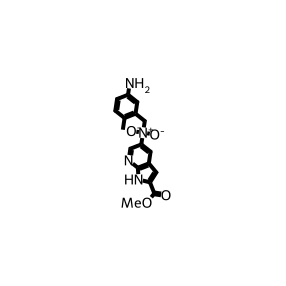 COC(=O)c1cc2cc([N+]([O-])([O-])Cc3cc(N)ccc3C)cnc2[nH]1